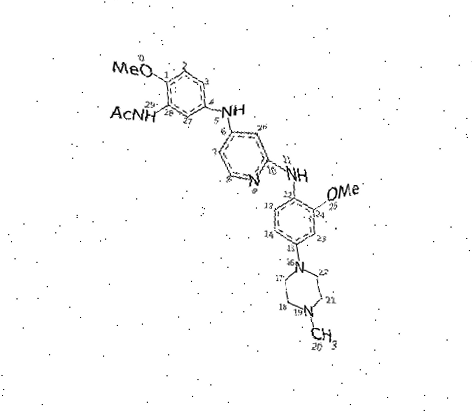 COc1ccc(Nc2ccnc(Nc3ccc(N4CCN(C)CC4)cc3OC)c2)cc1NC(C)=O